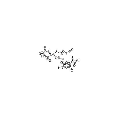 C#CCO[C@@H]1CC(n2cc(C)c(=O)[nH]c2=O)O[C@@H]1COP(=O)(O)OP(=O)(O)O[PH](=O)O